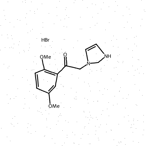 Br.COc1ccc(OC)c(C(=O)CN2C=CNC2)c1